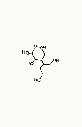 OCCC(CO)C(CO)C(O)C(O)O